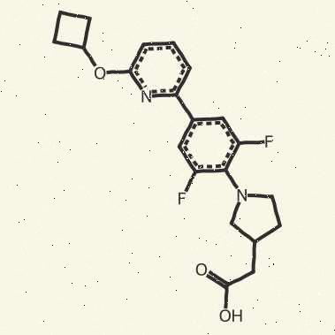 O=C(O)CC1CCN(c2c(F)cc(-c3cccc(OC4CCC4)n3)cc2F)C1